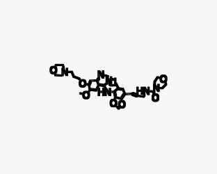 COc1cc2c(Nc3c(Cl)cc(C#CCNC(=O)N4CCOCC4)c4c3OCO4)ncnc2cc1OCCCN1CCOCC1